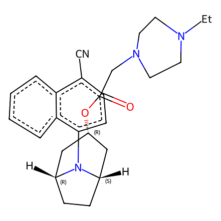 CCN1CCN(CC(=O)O[C@H]2C[C@H]3CC[C@@H](C2)N3c2ccc(C#N)c3ccccc23)CC1